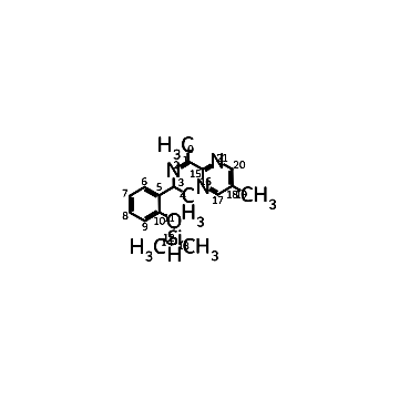 CC(=NC(C)c1ccccc1O[SiH](C)C)c1ncc(C)cn1